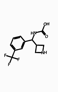 O=C(O)NC(c1cccc(C(F)(F)F)c1)C1CNC1